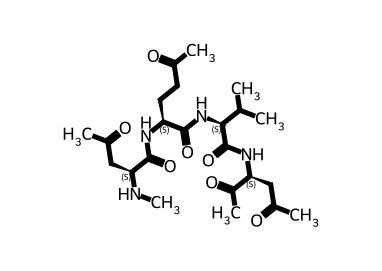 CN[C@@H](CC(C)=O)C(=O)N[C@@H](CCC(C)=O)C(=O)N[C@H](C(=O)N[C@@H](CC(C)=O)C(C)=O)C(C)C